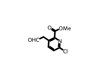 COC(=O)c1nc(Cl)ccc1CC=O